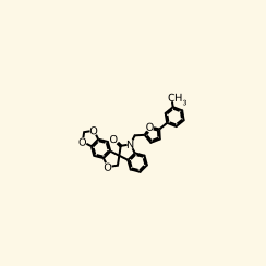 Cc1cccc(-c2ccc(CN3C(=O)C4(COc5cc6c(cc54)OCO6)c4ccccc43)o2)c1